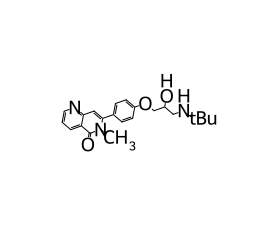 Cn1c(-c2ccc(OCC(O)CNC(C)(C)C)cc2)cc2ncccc2c1=O